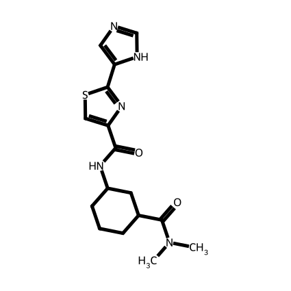 CN(C)C(=O)C1CCCC(NC(=O)c2csc(-c3cnc[nH]3)n2)C1